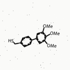 COc1cc(-c2ccc(CS)cc2)cc(OC)c1OC